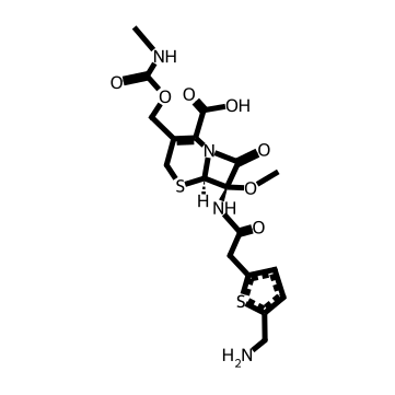 CNC(=O)OCC1=C(C(=O)O)N2C(=O)[C@](NC(=O)Cc3ccc(CN)s3)(OC)[C@H]2SC1